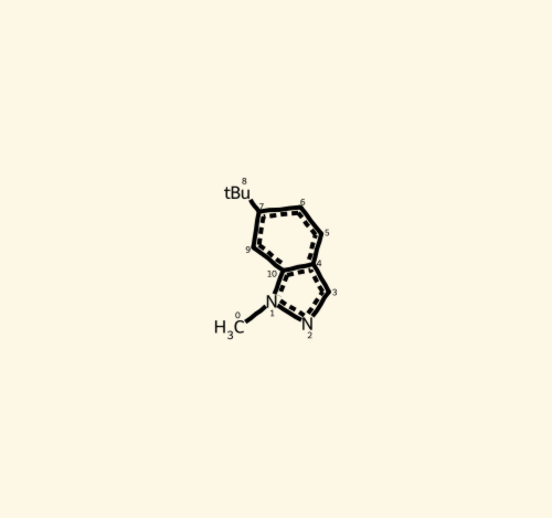 Cn1ncc2ccc(C(C)(C)C)cc21